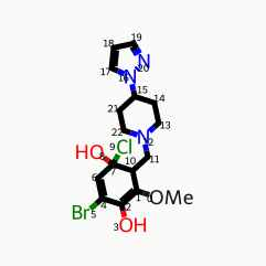 COC1=C(O)C(Br)=CC(O)(Cl)C1CN1CCC(n2cccn2)CC1